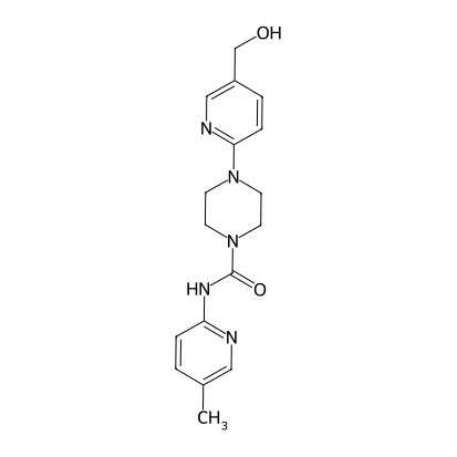 Cc1ccc(NC(=O)N2CCN(c3ccc(CO)cn3)CC2)nc1